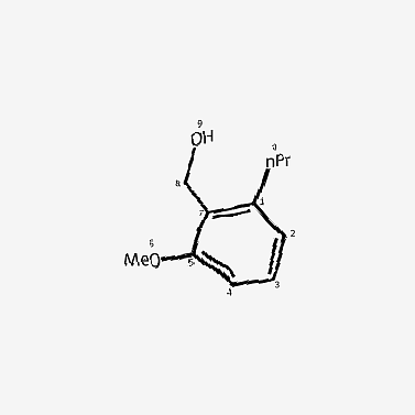 CCCc1cccc(OC)c1CO